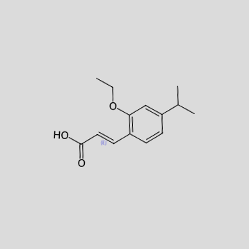 CCOc1cc(C(C)C)ccc1/C=C/C(=O)O